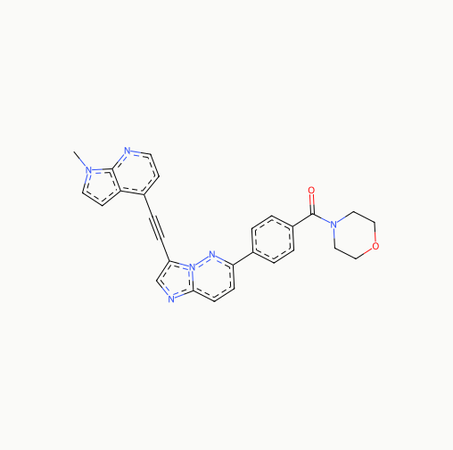 Cn1ccc2c(C#Cc3cnc4ccc(-c5ccc(C(=O)N6CCOCC6)cc5)nn34)ccnc21